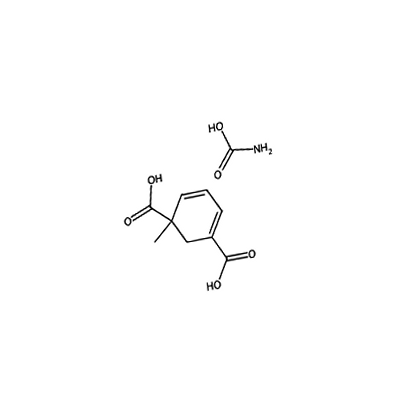 CC1(C(=O)O)C=CC=C(C(=O)O)C1.NC(=O)O